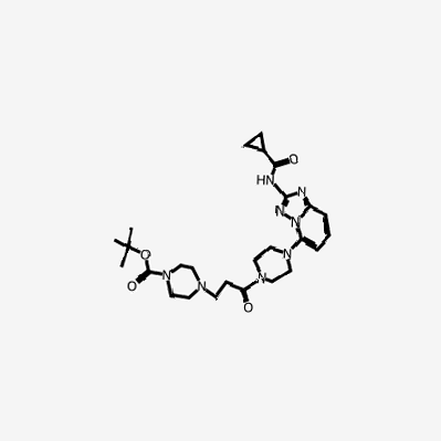 CC(C)(C)OC(=O)N1CCN(CCC(=O)N2CCN(c3cccc4nc(NC(=O)C5CC5)nn34)CC2)CC1